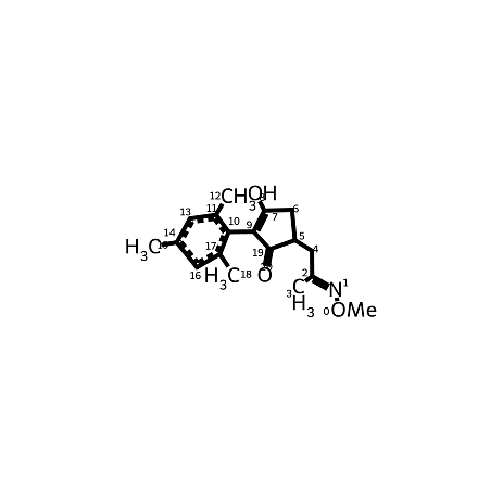 CO/N=C(\C)CC1CC(O)=C(c2c(C)cc(C)cc2C)C1=O